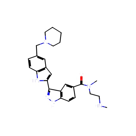 CNCCN(C)C(=O)c1ccc2[nH]nc(-c3cc4cc(CN5CCCCC5)ccc4[nH]3)c2c1